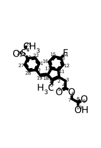 CC1=C(CC(=O)OCC(=O)O)c2cc(F)ccc2/C1=C\c1ccc([S+](C)[O-])cc1